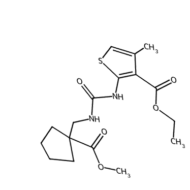 CCOC(=O)c1c(C)csc1NC(=O)NCC1(C(=O)OC)CCCC1